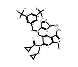 Cc1nn(C)c2nc(N(CC3CC3)C(=O)C3CC3)c(CN(Cc3cc(C(F)(F)F)cc(C(F)(F)F)c3)c3nnn(C)n3)cc12